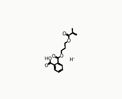 C=C(C)C(=O)OCCCOC(=O)c1ccccc1C(=O)O.[H+]